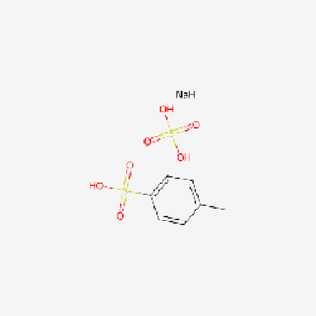 Cc1ccc(S(=O)(=O)O)cc1.O=S(=O)(O)O.[NaH]